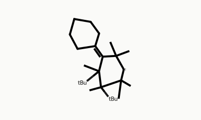 CC1(C)[C]C(C)(C)C(C)(C(C)(C)C)C(C)(C(C)(C)C)C1=C1CCCCC1